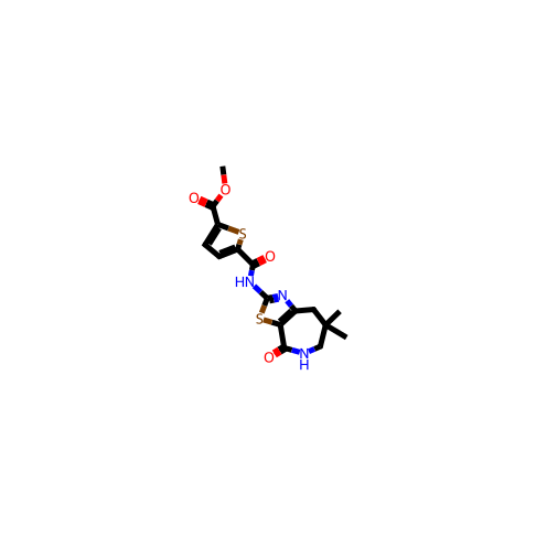 COC(=O)c1ccc(C(=O)Nc2nc3c(s2)C(=O)NCC(C)(C)C3)s1